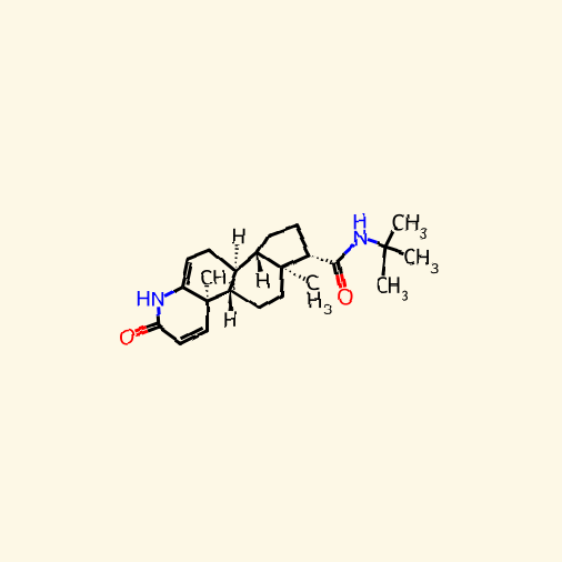 CC(C)(C)NC(=O)[C@H]1CC[C@H]2[C@@H]3CC=C4NC(=O)C=C[C@]4(C)[C@H]3CC[C@]12C